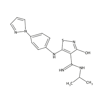 CC(C)NC(=N)c1c(O)nsc1Nc1ccc(-n2cccn2)cc1